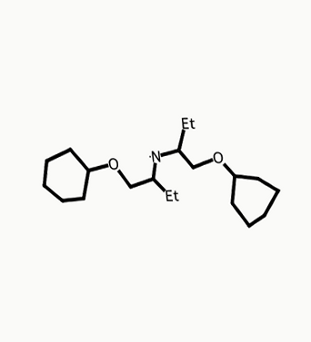 CCC(COC1CCCCC1)[N]C(CC)COC1CCCCC1